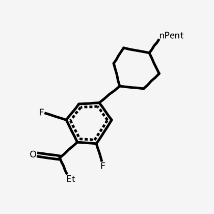 CCCCCC1CCC(c2cc(F)c(C(=O)CC)c(F)c2)CC1